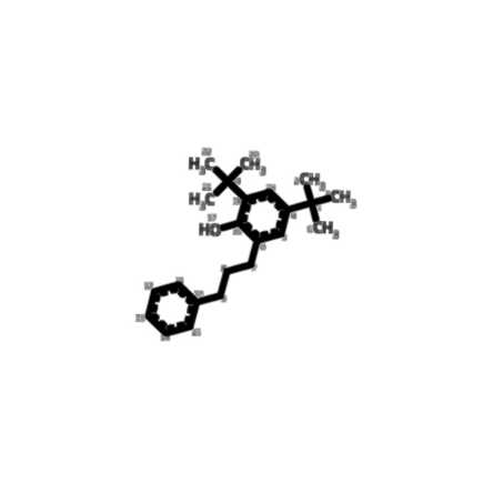 CC(C)(C)c1cc(CCCc2ccccc2)c(O)c(C(C)(C)C)c1